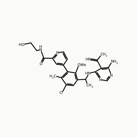 COc1c(C(C)Nc2ncnc(N)c2C(C)=N)cc(Cl)c(C)c1-c1ccnc(C(=O)NCCO)c1